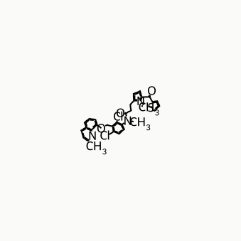 Cc1ccc2cccc(OCc3c(Cl)ccc(N(C)C(=O)CCc4ccc(C(=O)c5cccs5)n4C)c3Cl)c2n1